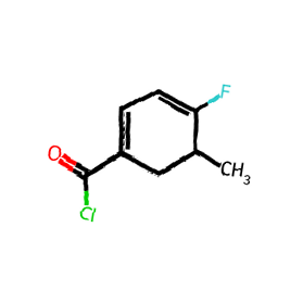 CC1CC(C(=O)Cl)=CC=C1F